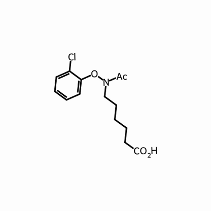 CC(=O)N(CCCCCC(=O)O)Oc1ccccc1Cl